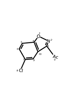 CC(=O)c1noc2ccc(Cl)cc12